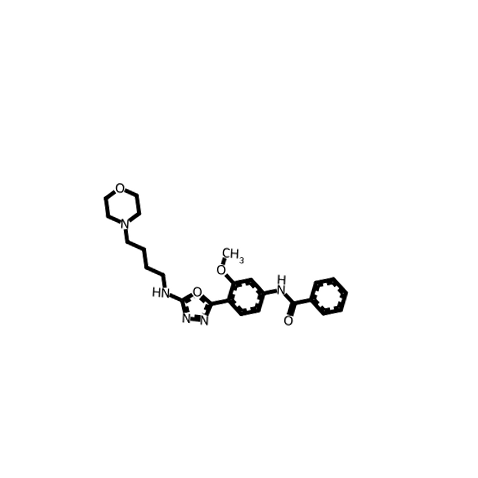 COc1cc(NC(=O)c2ccccc2)ccc1-c1nnc(NCCCCN2CCOCC2)o1